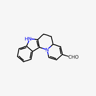 O=CC1=CC2CCc3[nH]c4ccccc4c3N2C=C1